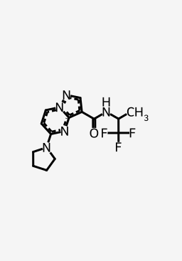 CC(NC(=O)c1cnn2ccc(N3CCCC3)nc12)C(F)(F)F